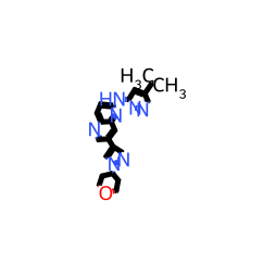 CC(C)c1cnnc(Nc2ccc3ncc(-c4cnn(C5CCOCC5)c4)cc3n2)c1